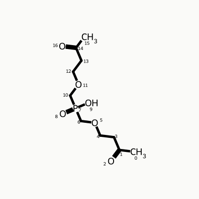 CC(=O)CCOCP(=O)(O)COCCC(C)=O